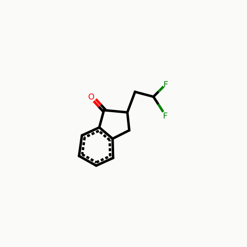 O=C1c2ccccc2CC1CC(F)F